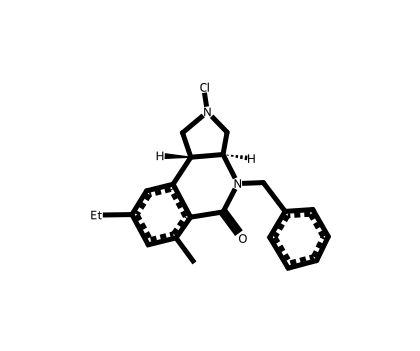 CCc1cc(C)c2c(c1)[C@@H]1CN(Cl)C[C@H]1N(Cc1ccccc1)C2=O